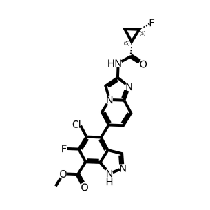 COC(=O)c1c(F)c(Cl)c(-c2ccc3nc(NC(=O)[C@@H]4C[C@@H]4F)cn3c2)c2cn[nH]c12